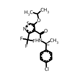 CC(C)Oc1snc(C(F)(F)F)c1C(=O)N[C@@H](C)c1ccc(Cl)cc1